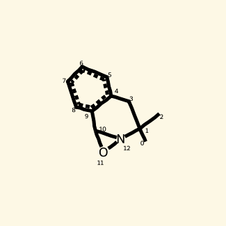 CC1(C)Cc2ccccc2C2ON21